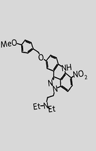 CCN(CC)CCn1nc2c3c(c([N+](=O)[O-])ccc31)Nc1ccc(OCc3ccc(OC)cc3)cc1-2